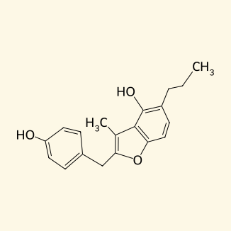 CCCc1ccc2oc(Cc3ccc(O)cc3)c(C)c2c1O